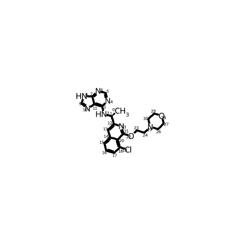 C[C@H](Nc1ncnc2[nH]cnc12)c1cc2cccc(Cl)c2c(OCCN2CCOCC2)n1